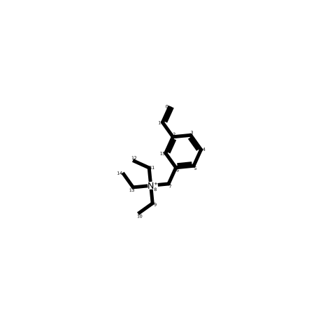 C=Cc1cccc(C[N+](CC)(CC)CC)c1